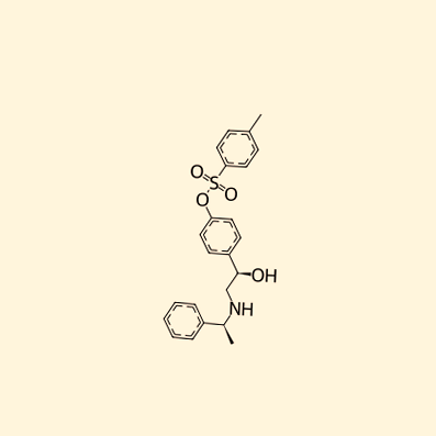 Cc1ccc(S(=O)(=O)Oc2ccc([C@@H](O)CN[C@@H](C)c3ccccc3)cc2)cc1